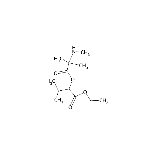 CCOC(=O)C(OC(=O)C(C)(C)NC)C(C)C